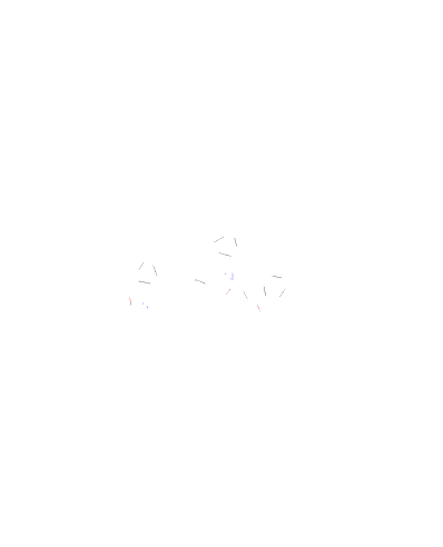 O=C(N[C@@H](C=C1CCC(c2ccccc2CN2CCCC2=O)CC1)Cc1ccc(Cl)cc1)c1cc(=O)c2cc(C3CCCC3)ccc2o1